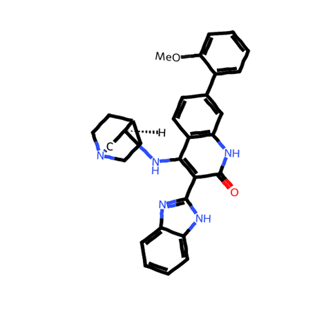 COc1ccccc1-c1ccc2c(N[C@H]3CN4CCC3CC4)c(-c3nc4ccccc4[nH]3)c(=O)[nH]c2c1